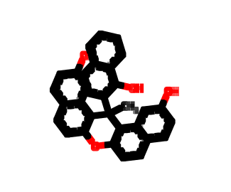 CC1(c2ccc3ccccc3c2O)c2c(ccc3ccc(O)cc23)Oc2ccc3ccc(O)cc3c21